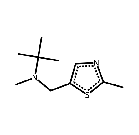 Cc1ncc(CN(C)C(C)(C)C)s1